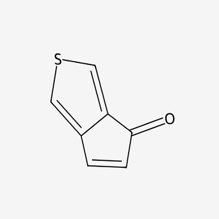 O=C1C=Cc2cscc21